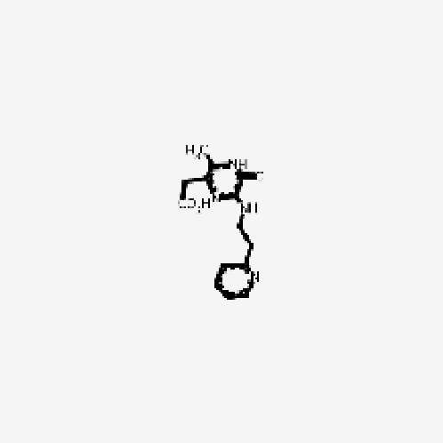 Cc1[nH]c(=O)c(NCCc2ccccn2)nc1CC(=O)O